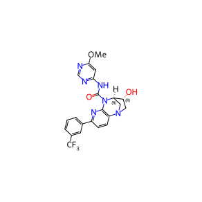 COc1cc(NC(=O)N2c3nc(-c4cccc(C(F)(F)F)c4)ccc3N3C[C@@H](O)[C@H]2C3)ncn1